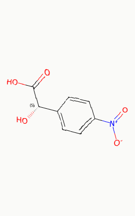 O=C(O)[C@@H](O)c1ccc([N+](=O)[O-])cc1